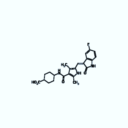 Cc1[nH]c(/C=C2\C(=O)Nc3ccc(F)cc32)c(C)c1C(=O)NC1CCC(C(=O)O)CC1